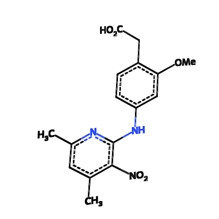 COc1cc(Nc2nc(C)cc(C)c2[N+](=O)[O-])ccc1CC(=O)O